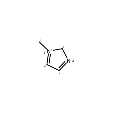 C[N+]1=CC=NC1